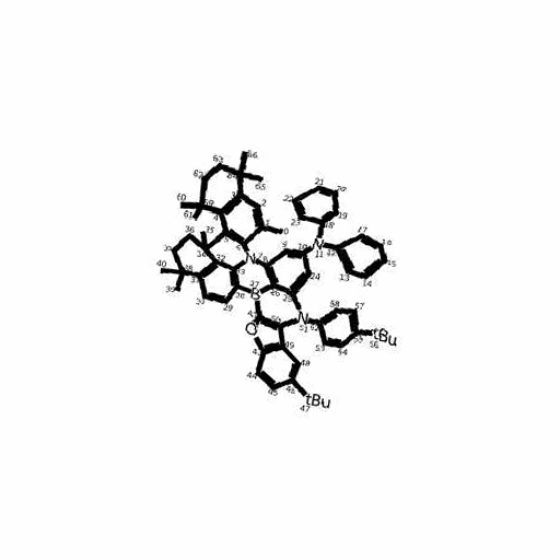 Cc1cc2c(c3c1N1c4cc(N(c5ccccc5)c5ccccc5)cc5c4B(c4ccc6c(c41)C3(C)CCC6(C)C)c1oc3ccc(C(C)(C)C)cc3c1N5c1ccc(C(C)(C)C)cc1)C(C)(C)CCC2(C)C